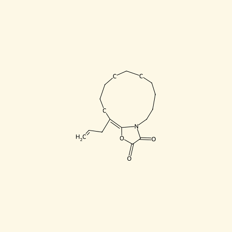 C=CC/C1=C2\OC(=O)C(=O)N2CCCCCCCCCC1